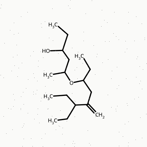 C=C(CC(CC)OC(C)CC(O)CC)C(CC)CC